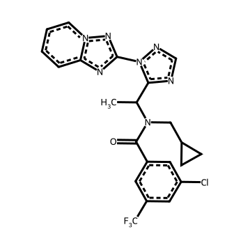 CC(c1ncnn1-c1nc2ccccn2n1)N(CC1CC1)C(=O)c1cc(Cl)cc(C(F)(F)F)c1